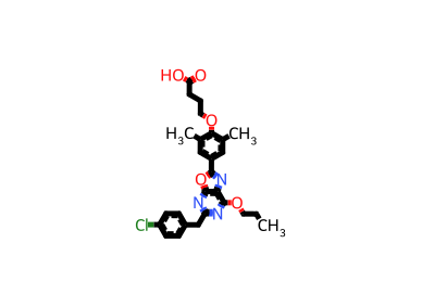 CCCOc1nc(Cc2ccc(Cl)cc2)nc2oc(-c3cc(C)c(OCCCC(=O)O)c(C)c3)nc12